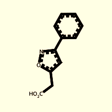 O=C(O)Cc1[c]c(-c2ccccc2)no1